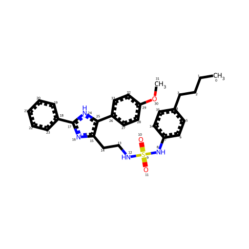 CCCCc1ccc(NS(=O)(=O)NCCc2nc(-c3ccccc3)[nH]c2-c2ccc(OC)cc2)cc1